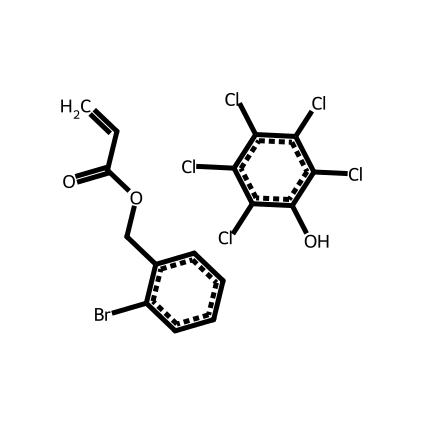 C=CC(=O)OCc1ccccc1Br.Oc1c(Cl)c(Cl)c(Cl)c(Cl)c1Cl